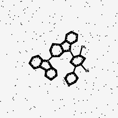 Cc1cc(C#N)c(-c2ccncc2)cc1-n1c2ccccc2c2ccc(-n3c4ccccc4c4ccccc43)cc21